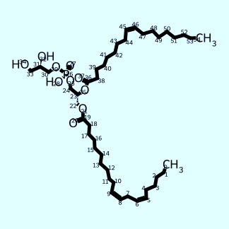 CCCCC/C=C\C/C=C\CCCCCCCCCC(=O)OC[C@H](COP(=O)(O)OC[C@@H](O)CO)OC(=O)CCCCCCC/C=C\CCCCCCCC